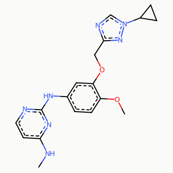 CNc1ccnc(Nc2ccc(OC)c(OCc3ncn(C4CC4)n3)c2)n1